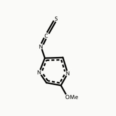 COc1cnc(N=C=S)cn1